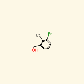 CCc1c(Br)cccc1CO